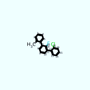 Cc1ccccc1-c1cc[c]c(-c2ccccc2Cl)c1F